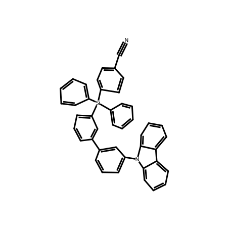 N#Cc1ccc([Si](c2ccccc2)(c2ccccc2)c2cccc(-c3cccc(-n4c5ccccc5c5ccccc54)c3)c2)cc1